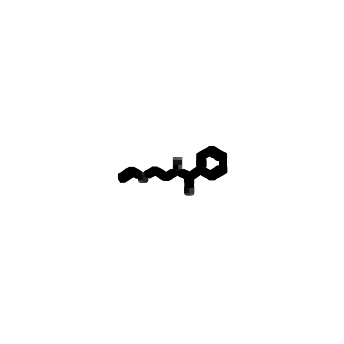 C=COCCNC(=O)c1ccccc1